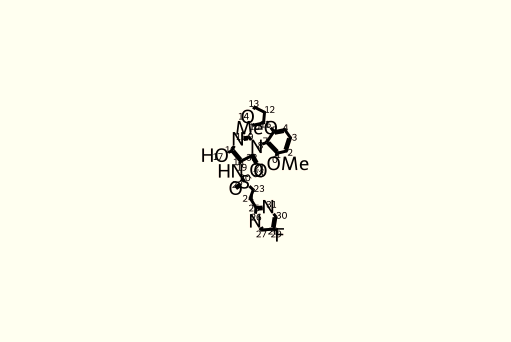 COc1cccc(OC)c1-n1c([C@H]2CCCO2)nc(O)c(NS(=O)(=O)CCc2ncc(F)cn2)c1=O